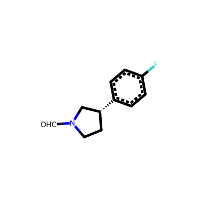 O=CN1CC[C@@H](c2ccc(F)cc2)C1